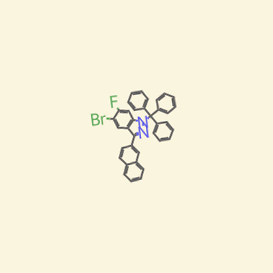 Fc1cc2c(cc1Br)c(-c1ccc3ccccc3c1)nn2C(c1ccccc1)(c1ccccc1)c1ccccc1